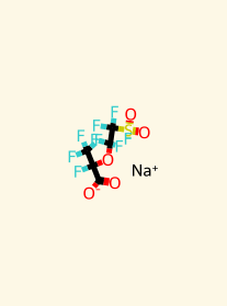 O=C([O-])C(F)(OC(F)(F)C(F)(F)S(=O)(=O)F)C(F)(F)F.[Na+]